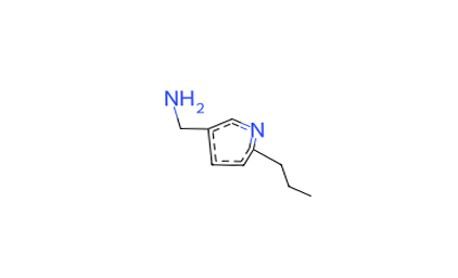 CCCc1ccc(CN)cn1